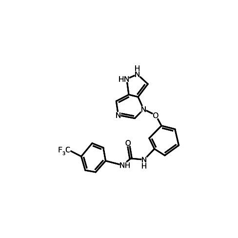 O=C(Nc1ccc(C(F)(F)F)cc1)Nc1cccc(ON2C=NC=C3NNC=C32)c1